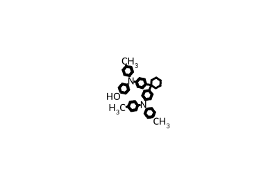 Cc1ccc(N(c2ccc(C)cc2)c2ccc(C3(c4ccc(N(c5ccc(C)cc5)c5ccc(O)cc5)cc4)CCCCC3)cc2)cc1